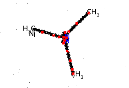 CCCCCCCCCCCCCCCCC/C=C/CCCc1ccccc1\N=C/C(/C=C/CCCCCCCCCCCCCCCCCCCCCC)=N/c1ccccc1CCC/C=C/CCCCCCCCCCCCCCCCC.[Ni]